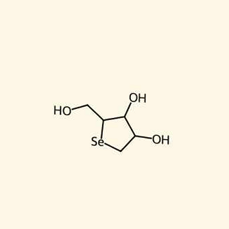 OCC1[Se]CC(O)C1O